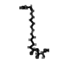 CCCCCCCC/C=C\CCCCCCCCCCCC(=O)OC(=O)C(C)O